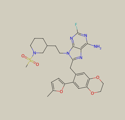 Cc1ccc(-c2cc3c(cc2Cc2nc4c(N)nc(F)nc4n2CCC2CCCN(S(C)(=O)=O)C2)OCCO3)o1